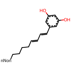 CCCCCCCCCCCCCC=CC=Cc1cc(O)cc(O)c1